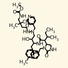 CCC(C)C(C(=O)NC(Cc1ccccc1)C(O)CN(Cc1ccncc1)NC(=O)CC(C)(C)CNC(=O)OC)C1CNC(=O)N1CCc1cccc(C)n1